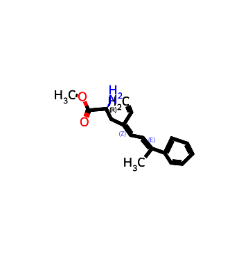 C=C/C(=C\C=C(/C)c1ccccc1)C[C@@H](N)C(=O)OC